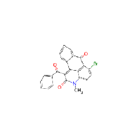 Cn1c(=O)c(C(=O)c2ccccc2)c2c3c(c(Br)ccc31)C(=O)c1ccccc1-2